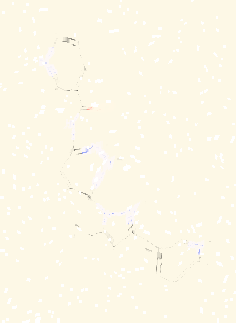 O=C(Nc1ccc(-n2nc(-c3cccnc3)cc2C(F)(F)F)nn1)c1cccnc1